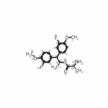 COc1ccc(C(c2ccc(OC)c(F)c2)[C@H](C)OC(=O)[C@H](C)N)cc1F